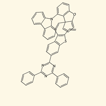 C=Cc1sc2cc(-c3nc(-c4ccccc4)nc(-c4ccccc4)n3)ccc2c1/C=C\C12C=CC=C1Oc1cccc(-n3c4ccccc4c4ccccc43)c12